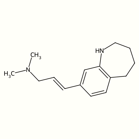 CN(C)CC=Cc1ccc2c(c1)NCCCC2